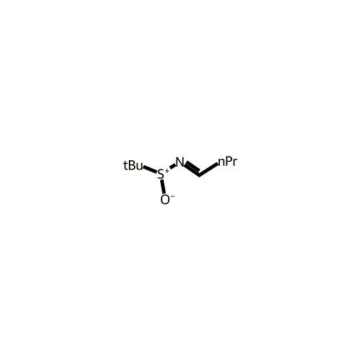 CCC/C=N/[S+]([O-])C(C)(C)C